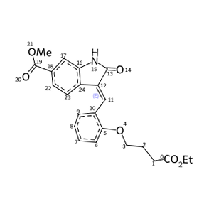 CCOC(=O)CCCOc1ccccc1/C=C1/C(=O)Nc2cc(C(=O)OC)ccc21